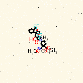 CO/N=C(\C)c1cc(N(C)C(=O)C(O)(CC2(c3ccccc3C(F)(F)F)CCC2)C(F)(F)F)ccc1C(=O)OC